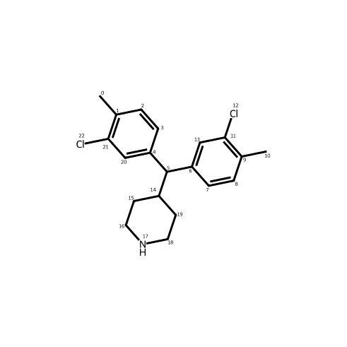 Cc1ccc(C(c2ccc(C)c(Cl)c2)C2CCNCC2)cc1Cl